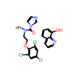 CCCN(CCOc1c(Cl)cc(Cl)cc1Cl)C(=O)n1ccnc1.Oc1cccc2cccnc12